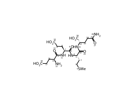 CSCC[C@H](NC(=O)[C@H](CCC(=O)O)NC(=O)[C@@H](N)CCC(=O)O)C(=O)N[C@@H](CCC(N)=O)C(=O)O